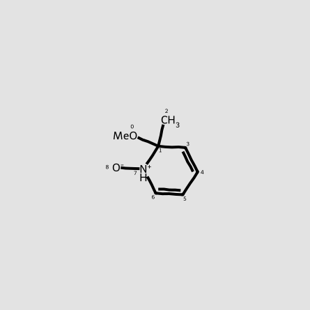 COC1(C)C=CC=C[NH+]1[O-]